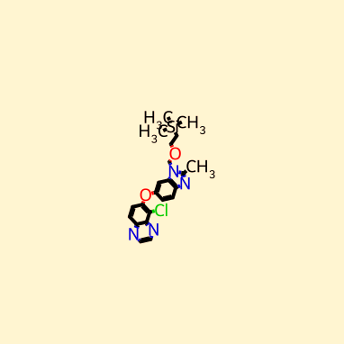 Cc1nc2ccc(Oc3ccc4nccnc4c3Cl)cc2n1COCC[Si](C)(C)C